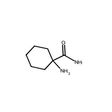 [NH]C(=O)C1(N)CCCCC1